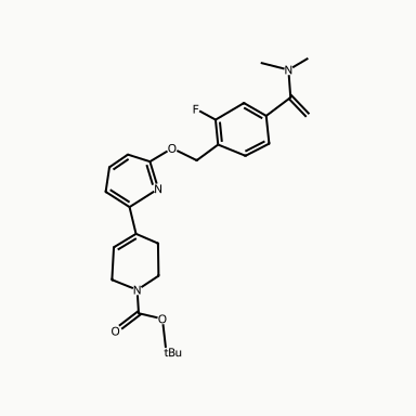 C=C(c1ccc(COc2cccc(C3=CCN(C(=O)OC(C)(C)C)CC3)n2)c(F)c1)N(C)C